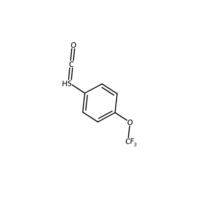 O=C=[SH]c1ccc(OC(F)(F)F)cc1